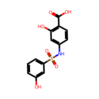 O=C(O)c1ccc(NS(=O)(=O)c2cccc(O)c2)cc1O